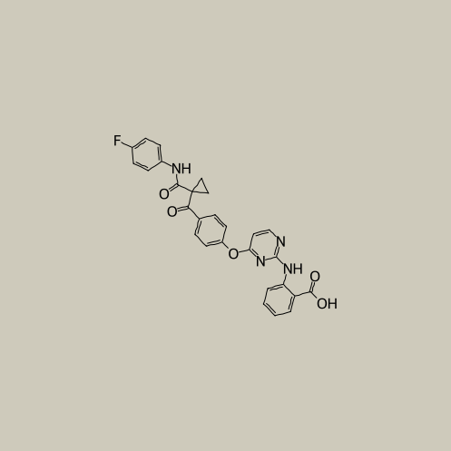 O=C(O)c1ccccc1Nc1nccc(Oc2ccc(C(=O)C3(C(=O)Nc4ccc(F)cc4)CC3)cc2)n1